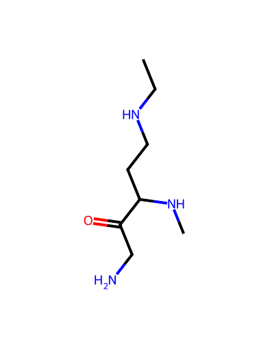 CCNCCC(NC)C(=O)CN